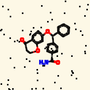 NC(=O)c1ccc(C(Oc2ccc3c(c2)OCCC3=O)c2ccccc2)cc1